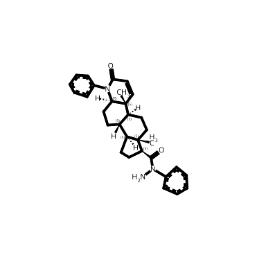 C[C@]12C=CC(=O)N(c3ccccc3)[C@@H]1CC[C@@H]1[C@@H]2CC[C@]2(C)[C@@H](C(=O)N(N)c3ccccc3)CC[C@@H]12